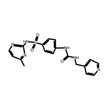 Cc1ccnc(NS(=O)(=O)c2ccc(NC(=O)NCc3ccncc3)cc2)n1